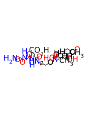 C[C@]12C=CC(=O)C=C1CC[C@@H]1[C@@H]2[C@@H](O)C[C@@]2(C)[C@H]1C[C@H]1CN(c3ccc(CC45CC(NC(=O)[C@H](CCC(=O)O)NC(=O)CNC(=O)CON)(C4)C5)cc3)C[C@]12C(=O)CO